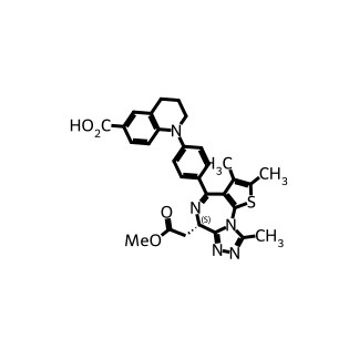 COC(=O)C[C@@H]1N=C(c2ccc(N3CCCc4cc(C(=O)O)ccc43)cc2)c2c(sc(C)c2C)-n2c(C)nnc21